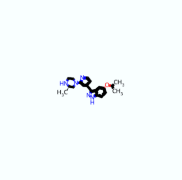 CC(C)Oc1ccc2[nH]nc(-c3ccnc(N4CCN[C@@H](C)C4)c3)c2c1